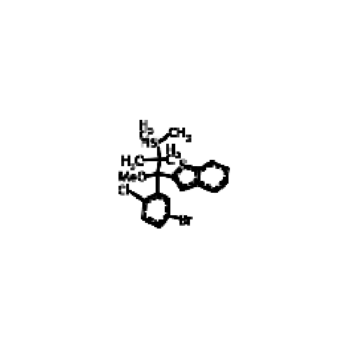 COC(c1cc2ccccc2s1)(c1cc(Br)ccc1Cl)C(C)(C)[SiH](C)C